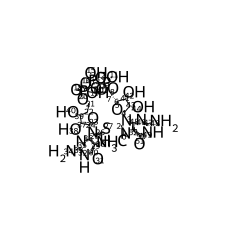 C[n+]1cn([C@@H]2O[C@H](COP(=O)(O)OP(=O)(O)OP(=O)(O)OC[C@H]3O[C@@H](n4c(=S)[nH]c5c(=O)[nH]c(N)nc54)[C@@H](O)C3O)C(O)[C@@H]2O)c2nc(N)[nH]c(=O)c21